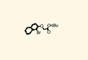 CC(C)(C)OC(=O)COc1ccc2ccccc2c1Br